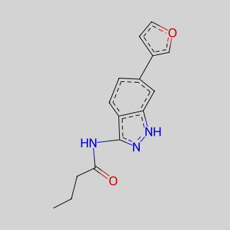 CCCC(=O)Nc1n[nH]c2cc(-c3ccoc3)ccc12